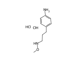 CONCCCc1ccc(N)cc1.Cl.Cl